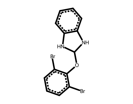 Brc1cccc(Br)c1OC1Nc2ccccc2N1